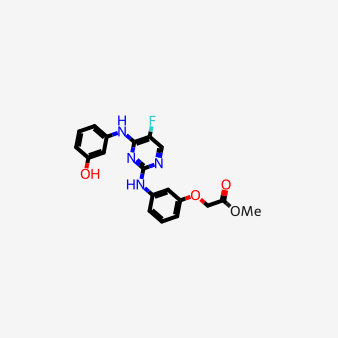 COC(=O)COc1cccc(Nc2ncc(F)c(Nc3cccc(O)c3)n2)c1